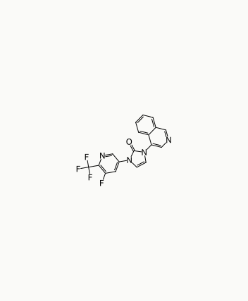 O=c1n(-c2cnc(C(F)(F)F)c(F)c2)ccn1-c1cncc2ccccc12